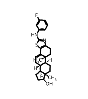 C[C@]12CC[C@H]3[C@@H](CC=C4c5sc(Nc6cccc(F)c6)nc5CC[C@@]43C)[C@@H]1CC[C@@H]2O